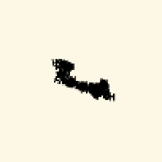 O=C(O)N[C@@H](C(=O)N1CCC[C@H]1c1nc(-c2ccc(CCc3ccc(-c4c[nH]c([C@@H]5CCCN5C(=O)[C@H](NC(=O)O)c5ccccc5)n4)cc3)cc2)c[nH]1)c1ccccc1